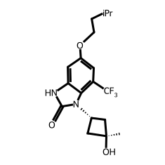 CC(C)CCOc1cc(C(F)(F)F)c2c(c1)[nH]c(=O)n2[C@H]1C[C@](C)(O)C1